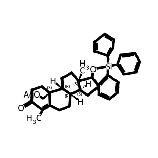 CC(=O)OC[C@]12CCC(=O)C(C)=C1CC[C@@H]1[C@H]2CC[C@]2(C)C(O[Si](c3ccccc3)(c3ccccc3)c3ccccc3)CC[C@@H]12